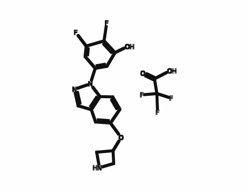 O=C(O)C(F)(F)F.Oc1cc(-n2ncc3cc(OC4CNC4)ccc32)cc(F)c1F